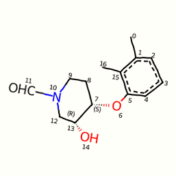 Cc1cccc(O[C@H]2CCN(C=O)C[C@H]2O)c1C